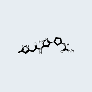 CCCC(=O)N[C@@H]1CC[C@H](c2cc(NC(=O)Cc3cc(C)no3)[nH]n2)C1